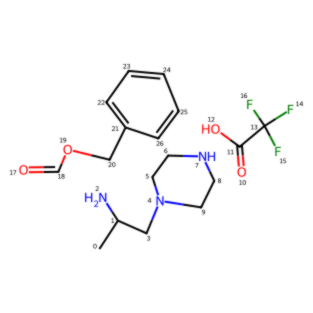 CC(N)CN1CCNCC1.O=C(O)C(F)(F)F.O=COCc1ccccc1